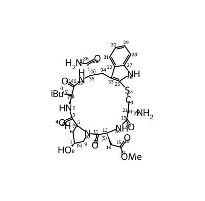 CC[C@H](C)[C@@H]1NC(=O)[C@@H]2C[C@H](O)CN2C(=O)[C@H](CC(=O)OC)NC(=O)[C@@H](N)CSc2[nH]c3ccccc3c2C[C@@H](C(N)=O)NC1=O